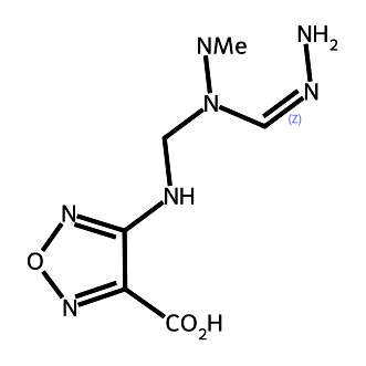 CNN(/C=N\N)CNc1nonc1C(=O)O